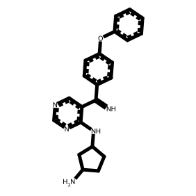 N=C(c1ccc(Oc2ccccc2)cc1)c1cncnc1NC1CCC(N)C1